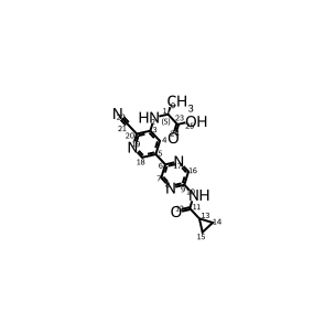 C[C@H](Nc1cc(-c2cnc(NC(=O)C3CC3)cn2)cnc1C#N)C(=O)O